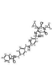 O=C(NCc1ccc(CNc2ccc(-c3nc4c([nH]3)c(=O)n(C3CC3)c(=O)n4C3CC3)cn2)cc1)c1ccccc1